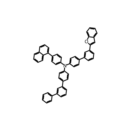 c1ccc(-c2cccc(-c3ccc(N(c4ccc(-c5cccc(-c6cc7ccccc7o6)c5)cc4)c4ccc(-c5cccc6ccccc56)cc4)cc3)c2)cc1